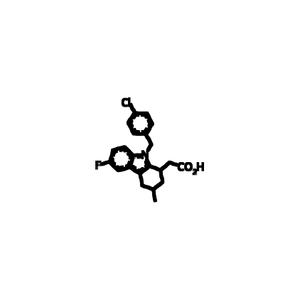 CC1Cc2c(n(Cc3ccc(Cl)cc3)c3ccc(F)cc23)C(CC(=O)O)C1